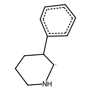 [CH]1NCCCC1c1ccccc1